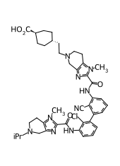 CC(C)N1CCc2c(nc(C(=O)Nc3cccc(-c4cccc(NC(=O)c5nc6c(n5C)CCN(CC[C@H]5CC[C@H](C(=O)O)CC5)C6)c4C#N)c3Cl)n2C)C1